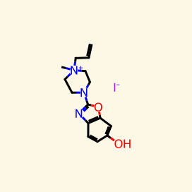 C=CC[N+]1(C)CCN(c2nc3ccc(O)cc3o2)CC1.[I-]